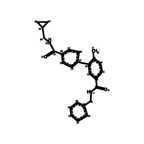 Cc1ccc(C(=O)NCc2ccccc2)cc1-c1ccc(C(=O)NCC2CC2)cc1